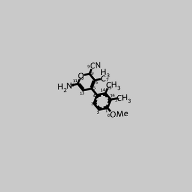 COc1ccc(C2=C(C)C(C#N)OC(N)=C2)c(C)c1C